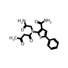 CC(=O)CC(=O)N(CC(N)=O)c1sc(-c2ccccc2)cc1C(N)=O